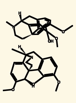 COC1=CC=C2[C@H]3Cc4ccc(OC)c5c4[C@@]2(CCN3C)[C@H]1O5.COC1=C[C@]23CCN(C)[C@H](Cc4ccc(OC)c(O)c42)C3=CC1=O